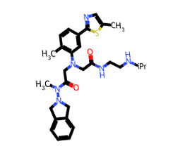 Cc1cnc(-c2ccc(C)c(N(CC(=O)NCCNC(C)C)CC(=O)N(C)N3Cc4ccccc4C3)c2)s1